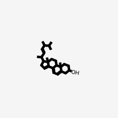 CC(C)C(C)/C=C/C(C)C1CC=C2C3=CC=C4CC(O)CCC4(C)C3CCC21C